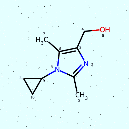 Cc1nc(CO)c(C)n1C1CC1